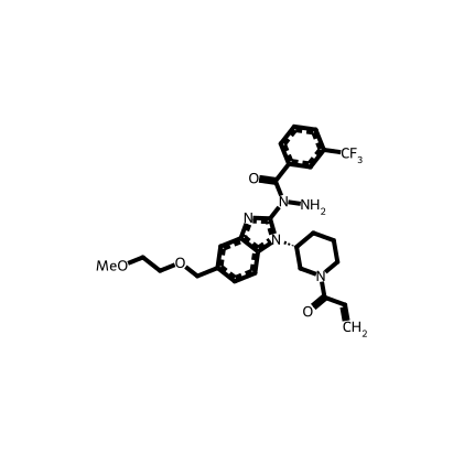 C=CC(=O)N1CCC[C@@H](n2c(N(N)C(=O)c3cccc(C(F)(F)F)c3)nc3cc(COCCOC)ccc32)C1